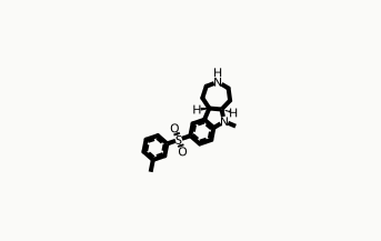 Cc1cccc(S(=O)(=O)c2ccc3c(c2)[C@@H]2CCNCC[C@H]2N3C)c1